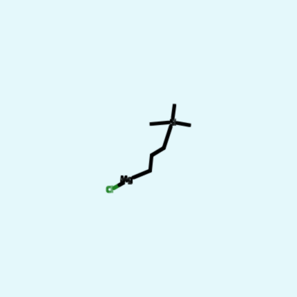 C[Si](C)(C)CC[CH2][Mg][Cl]